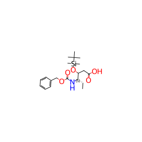 CC[C@H](NC(=O)OCc1ccccc1)C(CC(=O)O)O[Si](C)(C)C(C)(C)C